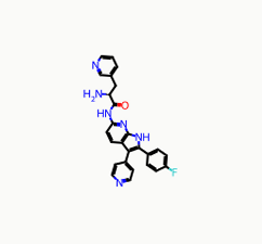 N[C@@H](Cc1cccnc1)C(=O)Nc1ccc2c(-c3ccncc3)c(-c3ccc(F)cc3)[nH]c2n1